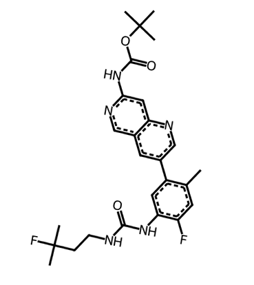 Cc1cc(F)c(NC(=O)NCCC(C)(C)F)cc1-c1cnc2cc(NC(=O)OC(C)(C)C)ncc2c1